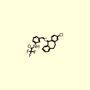 O=C(Nc1cccc(C=C=C2c3ccccc3CCc3cc(Cl)ccc32)c1)C(F)(F)F